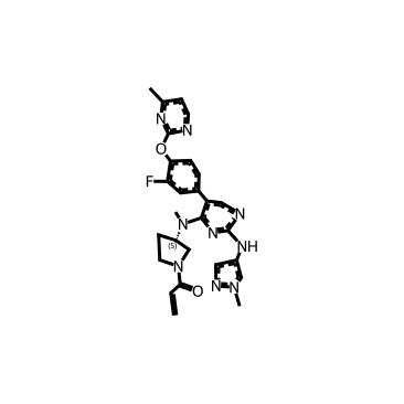 C=CC(=O)N1CC[C@H](N(C)c2nc(Nc3cnn(C)c3)ncc2-c2ccc(Oc3nccc(C)n3)c(F)c2)C1